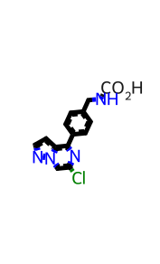 O=C(O)NCc1ccc(-c2nc(Cl)cn3nccc23)cc1